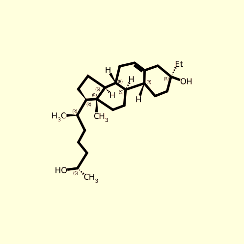 CC[C@]1(O)CC[C@H]2C(=CC[C@@H]3[C@@H]2CC[C@]2(C)[C@@H]([C@H](C)CCC[C@H](C)O)CC[C@@H]32)C1